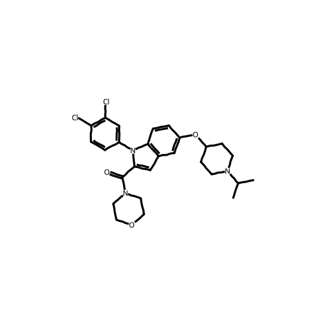 CC(C)N1CCC(Oc2ccc3c(c2)cc(C(=O)N2CCOCC2)n3-c2ccc(Cl)c(Cl)c2)CC1